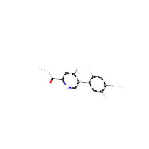 COC(=O)c1cc(C)c(-c2cc(I)c(OC)cc2F)cn1